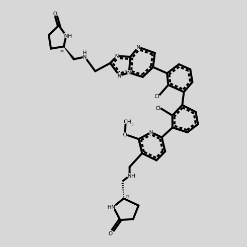 COc1nc(-c2cccc(-c3cccc(-c4cnc5nc(CNC[C@H]6CCC(=O)N6)nn5c4)c3Cl)c2Cl)ccc1CNC[C@@H]1CCC(=O)N1